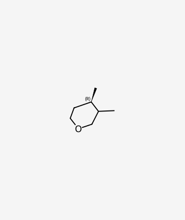 CC1COCC[C@H]1C